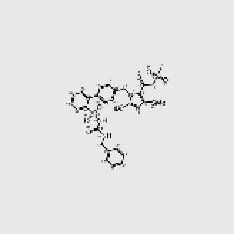 CCC(C)c1nc(SC)c(C(=O)CS(C)(=O)=O)n1Cc1ccc(-c2ccccc2S(=O)(=O)NC(=O)NCc2ccccc2)cc1